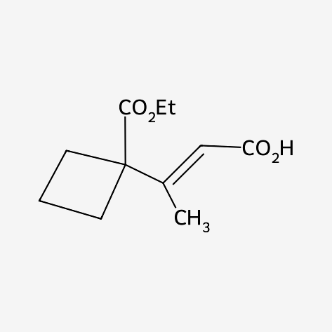 CCOC(=O)C1(C(C)=CC(=O)O)CCC1